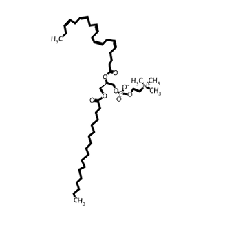 CC/C=C\C/C=C\C/C=C\C/C=C\C/C=C\CCCC(=O)O[C@H](COC(=O)CCCCCCCCCCCCCCCCC)COP(=O)([O-])OCC[N+](C)(C)C